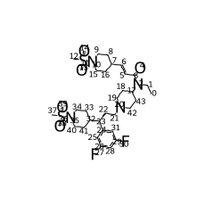 CCN(C(=O)C=CC1CCN(S(C)(=O)=O)CC1)C1CCN(CC[C@@H](c2cc(F)cc(F)c2)C2CCN(S(C)(=O)=O)CC2)CC1